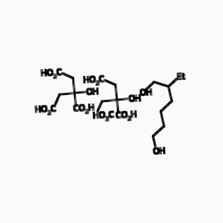 CCC(CO)CCCCO.O=C(O)CC(O)(CC(=O)O)C(=O)O.O=C(O)CC(O)(CC(=O)O)C(=O)O